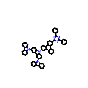 c1ccc(-c2nc(-c3ccccc3)nc(-c3ccc4c5ccc(-n6c7ccc(-n8c9ccccc9c9ccccc98)cc7c7cc(-n8c9ccccc9c9ccccc98)ccc76)cc5c5ccccc5c4c3)n2)cc1